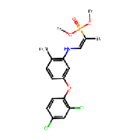 CCOP(=O)(OCC)C(=CNc1cc(Oc2ccc(Cl)cc2Cl)ccc1[N+](=O)[O-])CC